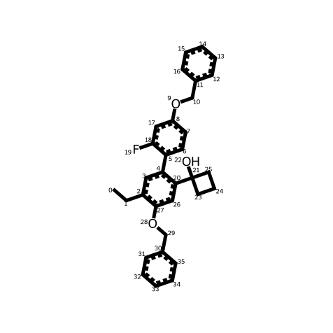 CCc1cc(-c2ccc(OCc3ccccc3)cc2F)c(C2(O)CCC2)cc1OCc1ccccc1